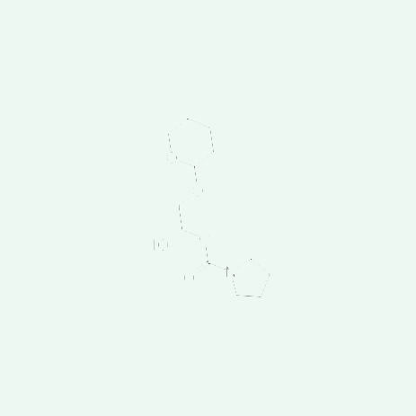 O=C(O[C@H](O)COC1CCCCO1)N1CCCC1